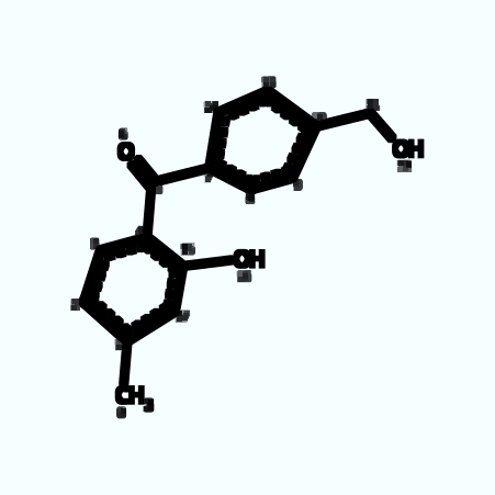 Cc1ccc(C(=O)c2ccc(CO)cc2)c(O)c1